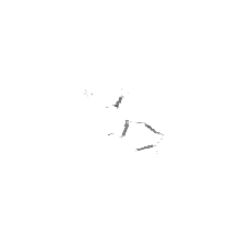 [N]OC(=O)c1ccc(Cl)cc1Cl